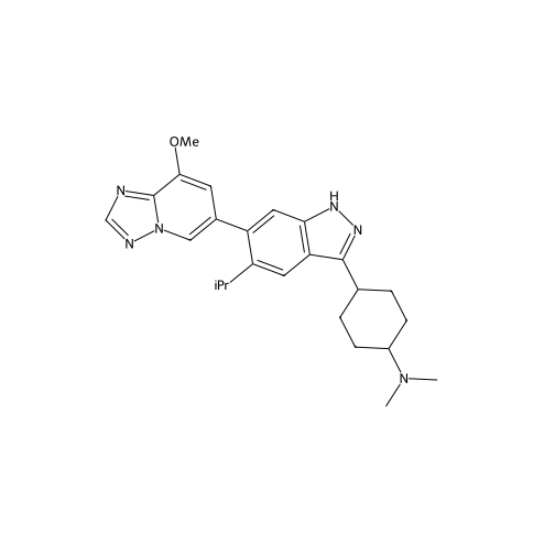 COc1cc(-c2cc3[nH]nc(C4CCC(N(C)C)CC4)c3cc2C(C)C)cn2ncnc12